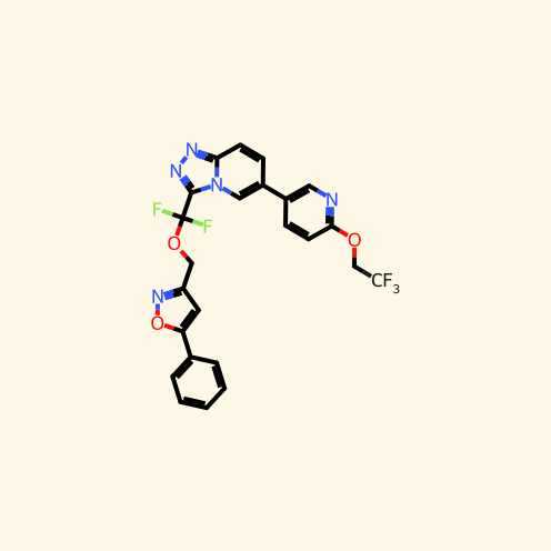 FC(F)(F)COc1ccc(-c2ccc3nnc(C(F)(F)OCc4cc(-c5ccccc5)on4)n3c2)cn1